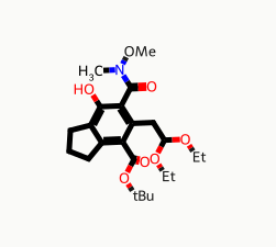 CCOC(Cc1c(C(=O)N(C)OC)c(O)c2c(c1C(=O)OC(C)(C)C)CCC2)OCC